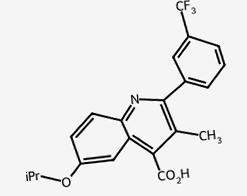 Cc1c(-c2cccc(C(F)(F)F)c2)nc2ccc(OC(C)C)cc2c1C(=O)O